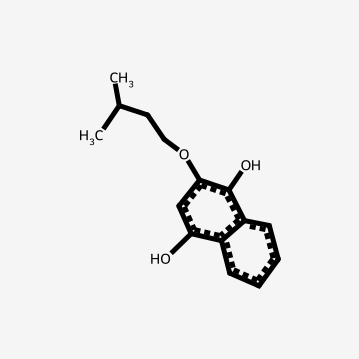 CC(C)CCOc1cc(O)c2ccccc2c1O